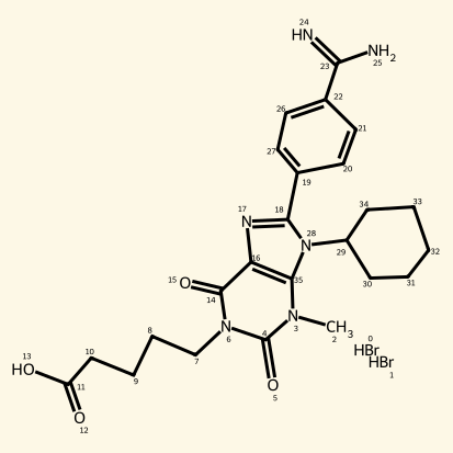 Br.Br.Cn1c(=O)n(CCCCC(=O)O)c(=O)c2nc(-c3ccc(C(=N)N)cc3)n(C3CCCCC3)c21